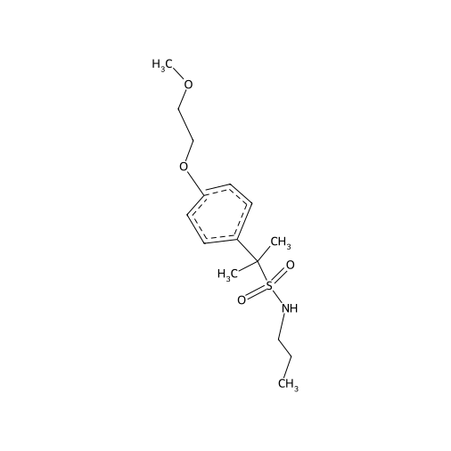 CCCNS(=O)(=O)C(C)(C)c1ccc(OCCOC)cc1